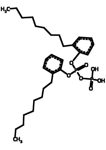 CCCCCCCCCc1ccccc1OP(=O)(Oc1ccccc1CCCCCCCCC)OP(=O)(O)O